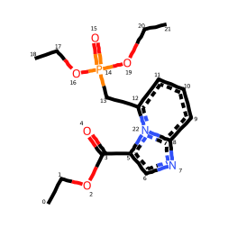 CCOC(=O)c1cnc2cccc(CP(=O)(OCC)OCC)n12